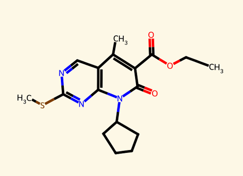 CCOC(=O)c1c(C)c2cnc(SC)nc2n(C2CCCC2)c1=O